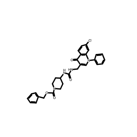 O=C(NCc1cn(-c2ccccc2)c2cc(Cl)ccc2c1=O)NC1CCN(C(=O)OCc2ccccc2)CC1